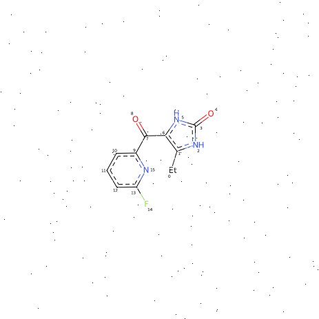 CCc1[nH]c(=O)[nH]c1C(=O)c1cccc(F)n1